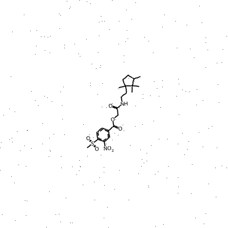 CC1CCC(C)(CCNC(=O)COC(=O)c2ccc(S(C)(=O)=O)c([N+](=O)[O-])c2)C1(C)C